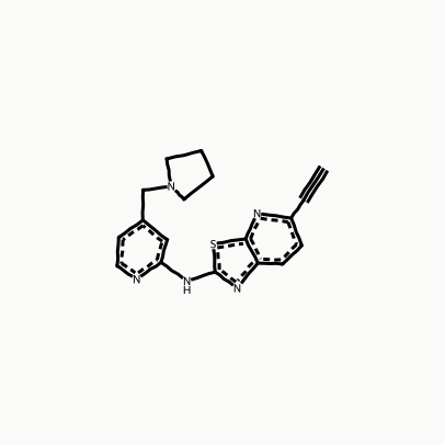 C#Cc1ccc2nc(Nc3cc(CN4CCCC4)ccn3)sc2n1